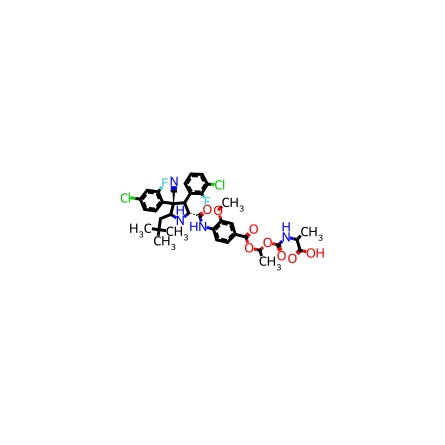 COc1cc(C(=O)OC(C)OC(=O)NC(C)C(=O)O)ccc1NC(=O)[C@@H]1NC(CC(C)(C)C)[C@](C#N)(c2ccc(Cl)cc2F)C1c1cccc(Cl)c1F